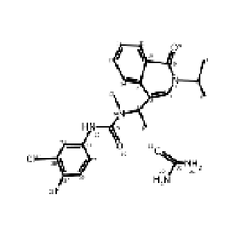 CC(c1cn(C(C)C)c(=O)c2ccccc12)N(C)C(=O)Nc1ccc(F)c(Cl)c1.NC(N)=O